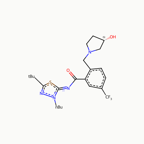 CCCCn1nc(C(C)(C)C)s/c1=N\C(=O)c1cc(C(F)(F)F)ccc1CN1CC[C@H](O)C1